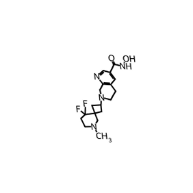 CN1CCC(F)(F)C2(CC(N3CCc4cc(C(=O)NO)cnc4C3)C2)C1